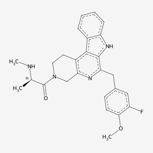 CN[C@H](C)C(=O)N1CCc2c(nc(Cc3ccc(OC)c(F)c3)c3[nH]c4ccccc4c23)C1